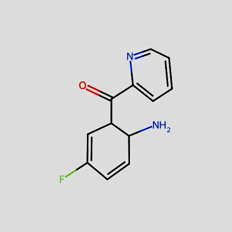 NC1C=CC(F)=CC1C(=O)c1ccccn1